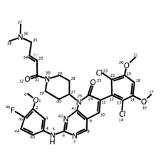 COc1cc(Nc2ncc3cc(-c4c(Cl)c(OC)cc(OC)c4Cl)c(=O)n(C4CCN(C(=O)/C=C/CN(C)C)CC4)c3n2)ccc1F